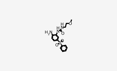 COCCNC(=O)Nc1cc(S(=O)(=O)c2ccccc2)ccc1N